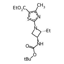 CCOC(=O)c1sc(N2C[C@H](NC(=O)OC(C)(C)C)[C@H]2CC)nc1C